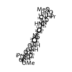 COC(=O)NC(C(=O)N1CCC[C@H]1c1ncc(-c2ccc(-c3nc4ccc(NC(=O)NC(=O)[C@@H]5CCCN5C(=O)[C@@H](NC(=O)OC)C(C)C)cc4s3)cc2)[nH]1)C(C)C